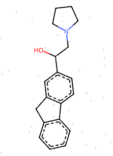 OC(CN1CCCC1)c1ccc2c(c1)Cc1ccccc1-2